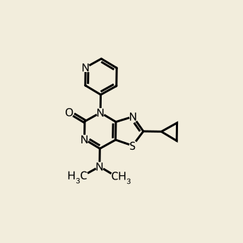 CN(C)c1nc(=O)n(-c2cccnc2)c2nc(C3CC3)sc12